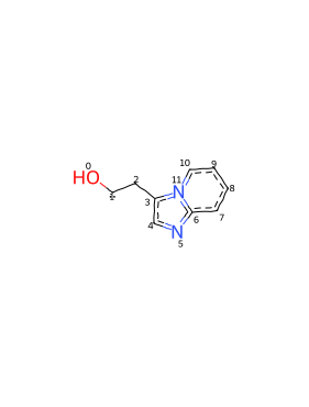 O[C]Cc1cnc2ccccn12